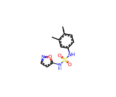 Cc1ccc(NS(=O)(=O)Nc2ccno2)cc1C